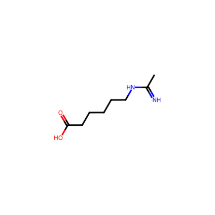 CC(=N)NCCCCCC(=O)O